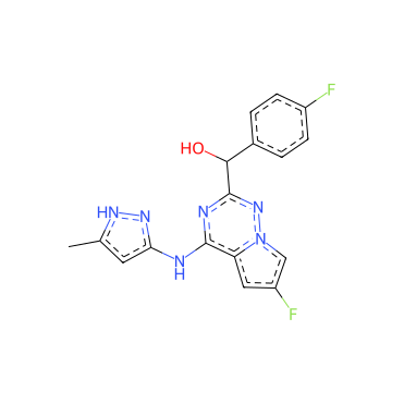 Cc1cc(Nc2nc(C(O)c3ccc(F)cc3)nn3cc(F)cc23)n[nH]1